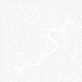 Cc1ccc(CCC[CH]O)cc1